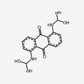 CCCC(O)Nc1cccc2c1C(=O)c1cccc(NC(O)CCC)c1C2=O